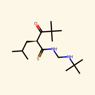 CC(C)C[C@@H](C(=O)C(C)(C)C)C(=S)NCNC(C)(C)C